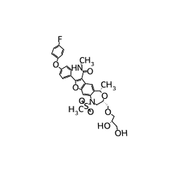 CNC(=O)c1c(-c2ccc(Oc3ccc(F)cc3)cc2)oc2cc3c(cc12)[C@H](C)O[C@H](COC[C@@H](O)CO)CN3S(C)(=O)=O